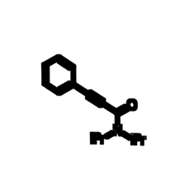 CC(C)N(C(=O)C#Cc1ccccc1)C(C)C